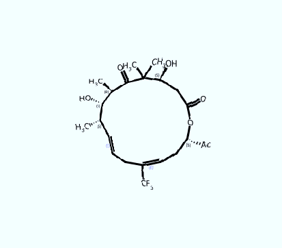 CC(=O)[C@@H]1C/C=C(/C(F)(F)F)C/C=C/[C@H](C)[C@H](O)[C@@H](C)C(=O)C(C)(C)[C@@H](O)CC(=O)O1